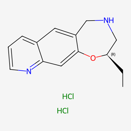 CC[C@@H]1CNCc2cc3cccnc3cc2O1.Cl.Cl